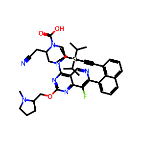 CC(C)[Si](C#Cc1cccc2cccc(-c3ncc4c(N5CCN(C(=O)O)C(CC#N)C5)nc(OCC5CCCN5C)nc4c3F)c12)(C(C)C)C(C)C